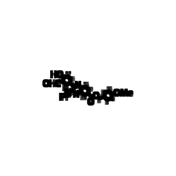 COc1ccc(COC(=O)c2ccc3nc(-c4ccc(O)c(C=O)c4)c(N(C)C(C)C)nc3c2)cc1